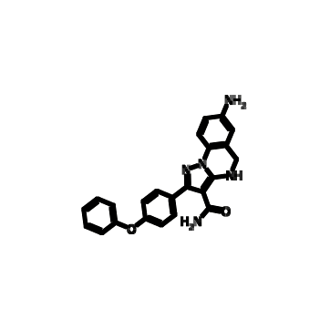 NC(=O)c1c(-c2ccc(Oc3ccccc3)cc2)nn2c1NCc1cc(N)ccc1-2